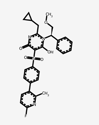 COC[C@@H](c1ccccc1)n1c(CC2CC2)nc(=O)c(S(=O)(=O)c2ccc(-c3ccc(F)nc3C)cc2)c1O